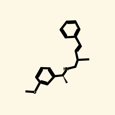 COc1cccc([C@@H](C)NCC(C)C=Cc2ccccc2)c1